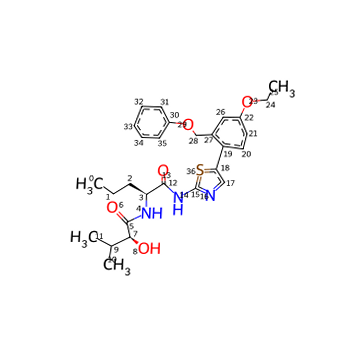 CCC[C@H](NC(=O)[C@@H](O)C(C)C)C(=O)Nc1ncc(-c2ccc(OCC)cc2COc2ccccc2)s1